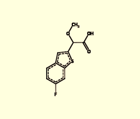 COC(C(=O)O)c1cc2ccc(F)cc2s1